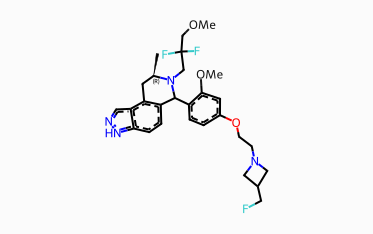 COCC(F)(F)CN1C(c2ccc(OCCN3CC(CF)C3)cc2OC)c2ccc3[nH]ncc3c2C[C@H]1C